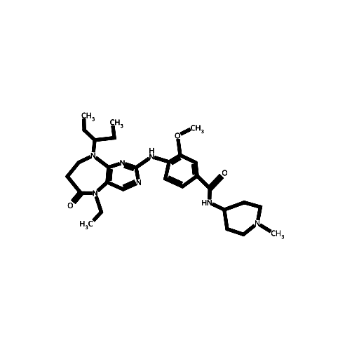 CCC(CC)N1CCC(=O)N(CC)c2cnc(Nc3ccc(C(=O)NC4CCN(C)CC4)cc3OC)nc21